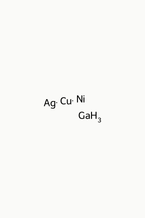 [Ag].[Cu].[GaH3].[Ni]